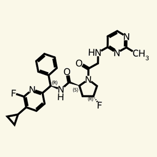 Cc1nccc(NCC(=O)N2C[C@H](F)C[C@H]2C(=O)N[C@H](c2ccccc2)c2ccc(C3CC3)c(F)n2)n1